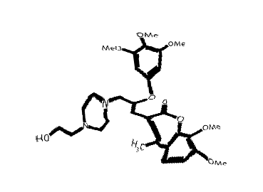 COc1cc(OC(Cc2c(C)c3ccc(OC)c(OC)c3oc2=O)CN2CCN(CCO)CC2)cc(OC)c1OC